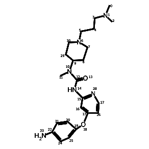 CN(C)CCCN1CCC(N(C)C(=O)Nc2cc(Oc3ccc(N)cc3)ccn2)CC1